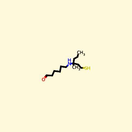 CCCC(C)(CCS)NCCCCCC=O